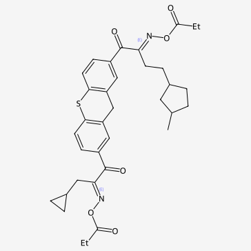 CCC(=O)O/N=C(\CCC1CCC(C)C1)C(=O)c1ccc2c(c1)Cc1cc(C(=O)/C(CC3CC3)=N/OC(=O)CC)ccc1S2